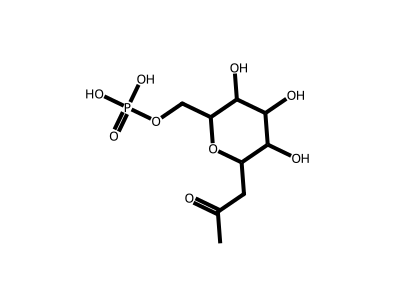 CC(=O)CC1OC(COP(=O)(O)O)C(O)C(O)C1O